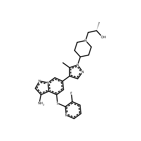 Cc1c(-c2cc(Sc3ncccc3F)c3c(N)cnn3c2)cnn1C1CCN(C[C@H](C)O)CC1